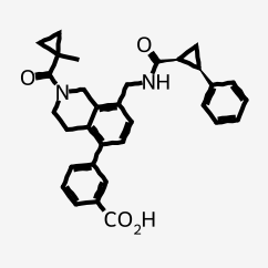 CC1(C(=O)N2CCc3c(-c4cccc(C(=O)O)c4)ccc(CNC(=O)[C@H]4C[C@H]4c4ccccc4)c3C2)CC1